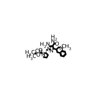 CN1CC(c2nn(C[C@@H]3CCCN3C(=O)OC(C)(C)C)c(N)c2C(N)=O)Cc2ccccc21